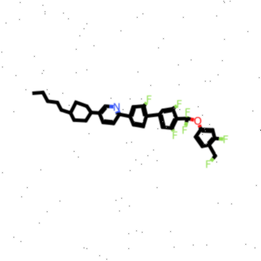 CCCCCC1CCC(c2ccc(-c3ccc(-c4cc(F)c(C(F)(F)Oc5ccc(CF)c(F)c5)c(F)c4)c(F)c3)nc2)CC1